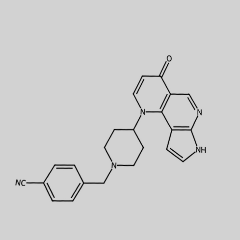 N#Cc1ccc(CN2CCC(n3ccc(=O)c4cnc5[nH]ccc5c43)CC2)cc1